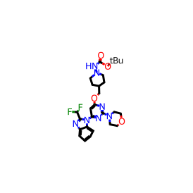 CC(C)(C)OC(=O)NN1CCC(COc2cc(-n3c(C(F)F)nc4ccccc43)nc(N3CCOCC3)n2)CC1